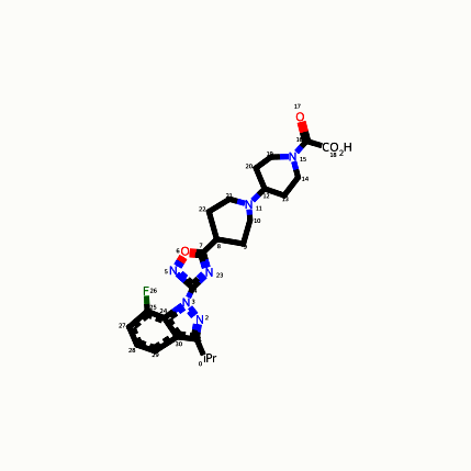 CC(C)c1nn(-c2noc(C3CCN(C4CCN(C(=O)C(=O)O)CC4)CC3)n2)c2c(F)cccc12